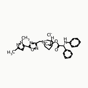 Cc1cc(-c2nc(C[N+]34CCC(CC3)[C@@H](OC(=O)[C@H](Nc3ccccc3)c3ccccc3)C4)no2)n(C)n1.[Cl-]